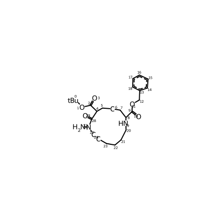 CC(C)(C)OC(=O)C1CCCC(C(=O)OCc2ccccc2)NCCCCCCN(N)C1=O